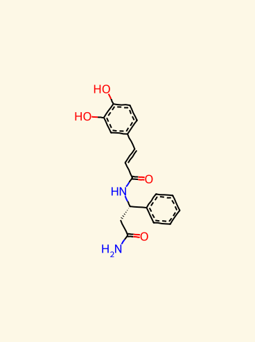 NC(=O)C[C@H](NC(=O)/C=C/c1ccc(O)c(O)c1)c1ccccc1